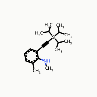 CNc1c(C)cccc1C#C[Si](C(C)C)(C(C)C)C(C)C